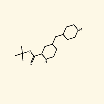 CC(C)(C)OC(=O)C1CC(CC2CCNCC2)CCN1